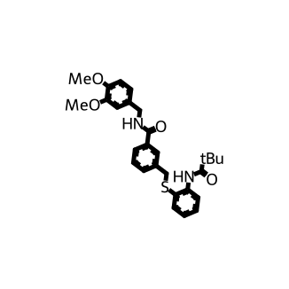 COc1ccc(CNC(=O)c2cccc(CSc3ccccc3NC(=O)C(C)(C)C)c2)cc1OC